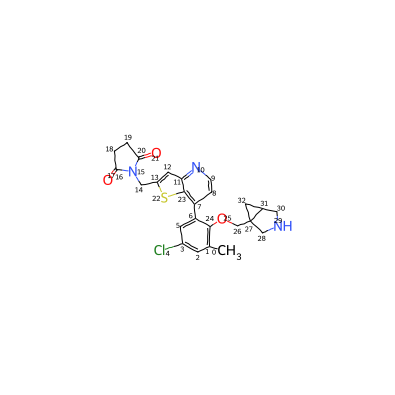 Cc1cc(Cl)cc(-c2ccnc3cc(CN4C(=O)CCC4=O)sc23)c1OCC12CNCC1C2